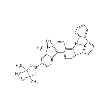 CC1(C)c2cc(B3OC(C)(C)C(C)(C)O3)ccc2-c2c1ccc1c2ccc2c3cccc4c5ccccc5n(c12)c43